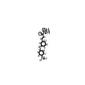 CN(C)c1ccc(Sc2cccc(/C=C/C(=O)NO)c2)cc1